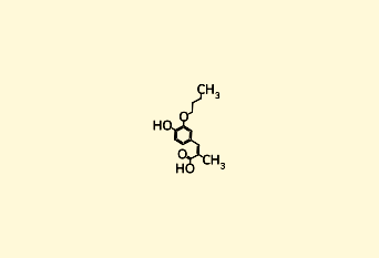 CCCCOc1cc(C=C(C)C(=O)O)ccc1O